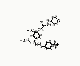 CCCC(=NOCc1ccc(C(F)(F)F)cc1)c1ccc(OCC(=O)NCC2CCOCC2)c(C)c1